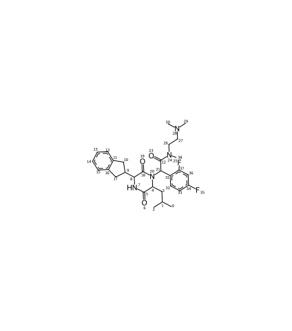 CC(C)CC1C(=O)NC(C2Cc3ccccc3C2)C(=O)N1C(C(=O)N(C)CCN(C)C)c1ccc(F)cc1F